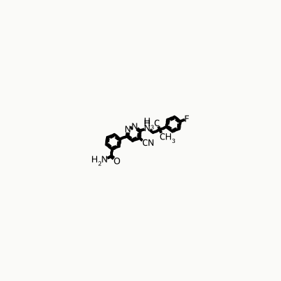 CC(C)(CNc1nnc(-c2cccc(C(N)=O)c2)cc1C#N)c1ccc(F)cc1